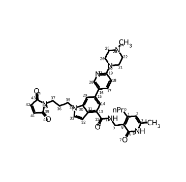 CCCc1cc(C)[nH]c(=O)c1CNC(=O)c1cc(-c2ccc(N3CCN(C)CC3)nc2)cc2c1ccn2CCCN1C(=O)C=CC1=O